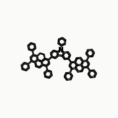 c1ccc(-c2cc(-c3ccccc3)c3ccc4c(-c5ccccc5)cc(-c5ccc6c(c5)c5cc(-c7cc(-c8ccccc8)c8ccc9c(-c%10ccccc%10)cc(-c%10ccccc%10)c%10ccc7c8c9%10)ccc5n6-c5ccccc5)c5c4c3c2CC5)cc1